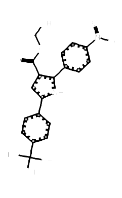 CCOC(=O)c1cc(-c2ccc(C(C)(C)C)cc2)[nH]c1-c1ccc([N+](=O)[O-])cc1